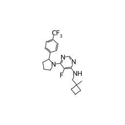 CC1(CNc2ncnc(N3CCCC3c3ccc(C(F)(F)F)cc3)c2F)CCC1